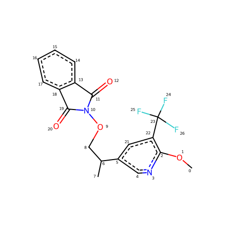 COc1ncc(C(C)CON2C(=O)c3ccccc3C2=O)cc1C(F)(F)F